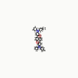 CCc1ccc(N(c2ccccc2)c2ccc3c(c2)OC2=CC=C4c5ccc(N(c6ccccc6)c6ccc(C)cc6)cc5OC5=CC=C3C2C54)cc1